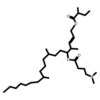 CCCCCCCC(C)CCCC(C)CCC(OC(=O)CCCN(C)C)C(C)C=CCOC(=O)C(C)CC